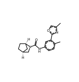 Cc1coc(-c2cc(NC(=O)N3C[C@H]4CC[C@@H]3C4)ccc2C)n1